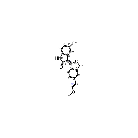 CO/C=C/c1ccc2c(c1)CO/C2=C1/C(=O)Nc2ccc(F)cc21